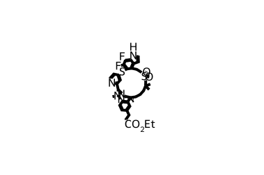 CCOC(=O)CCc1cccc([C@@]2(C)CCCC(C)(C)CS(=O)(=O)CCc3c(c(F)c(F)c4[nH]ccc34)Sc3ccnc(c3)-c3nc2nn3C)c1